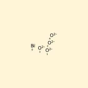 [Bi].[O-2].[O-2].[O-2].[O-2]